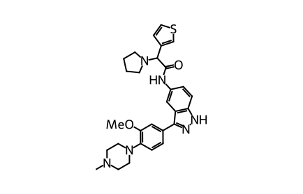 COc1cc(-c2n[nH]c3ccc(NC(=O)C(c4ccsc4)N4CCCC4)cc23)ccc1N1CCN(C)CC1